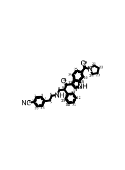 N#Cc1ccc(CCNCC(C(=O)c2c[nH]c3cc(C(=O)N4CCCC4)ccc23)c2ccccc2)cc1